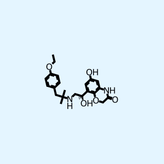 CCOc1ccc(CC(C)(C)NC[C@H](O)c2cc(O)cc3c2OCC(=O)N3)cc1